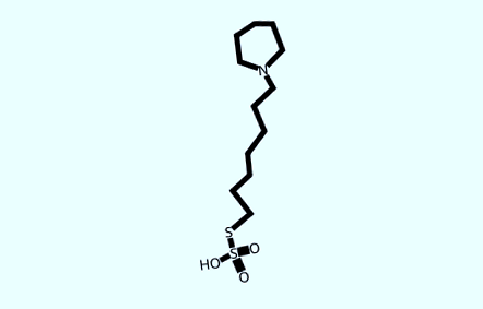 O=S(=O)(O)SCCCCCCCN1CCCCC1